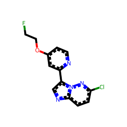 FCCOc1ccnc(-c2cnc3ccc(Cl)nn23)c1